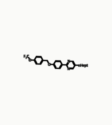 CCCCCCCc1cnc(-c2ccc(OCc3ccc(OC(F)(F)F)cc3)cc2)nc1